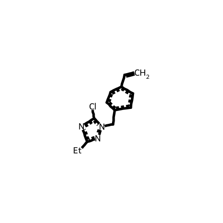 C=Cc1ccc(Cn2nc(CC)nc2Cl)cc1